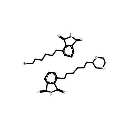 O=C1NC(=O)c2c(CCCCCCBr)cccc21.O=C1NC(=O)c2c(CCCCCCC3CNCCO3)cccc21